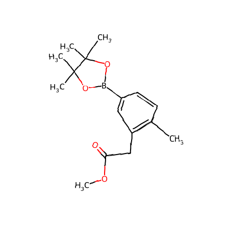 COC(=O)Cc1cc(B2OC(C)(C)C(C)(C)O2)ccc1C